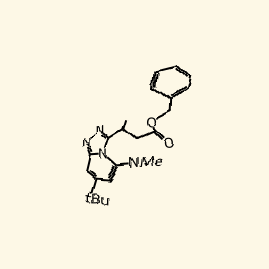 CNc1cc(C(C)(C)C)cc2nnc(C(C)CC(=O)OCc3ccccc3)n12